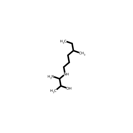 CCC(C)CCCNC(N)C(C)O